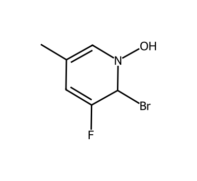 CC1=CN(O)C(Br)C(F)=C1